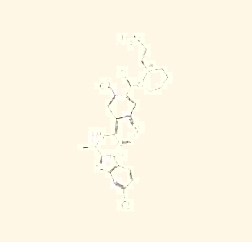 C[C@@H](Nc1ncnc2cc(C(=O)N3CCCC[C@@H]3CCN)c(Cl)cc12)c1nc2cc(Cl)ccc2[nH]1